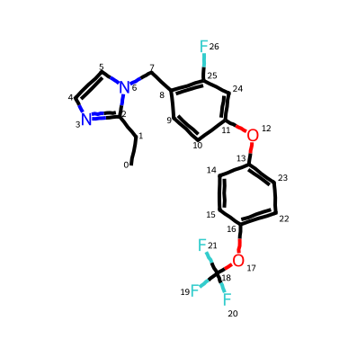 CCc1nccn1Cc1ccc(Oc2ccc(OC(F)(F)F)cc2)cc1F